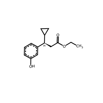 CCOC(=O)C[C@@H](c1cccc(O)c1)C1CC1